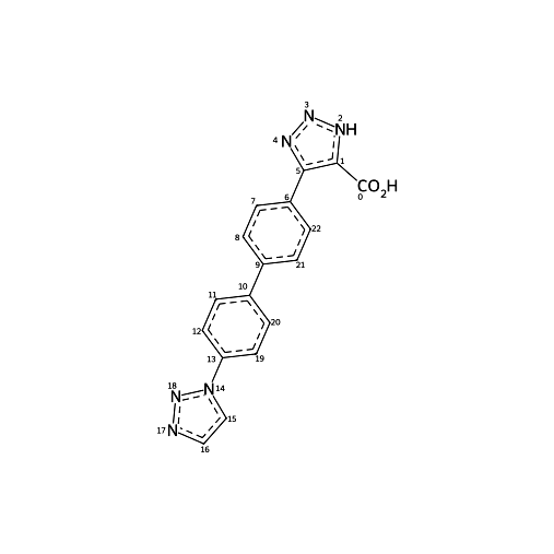 O=C(O)c1[nH]nnc1-c1ccc(-c2ccc(-n3ccnn3)cc2)cc1